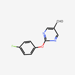 O=Cc1cnc(Oc2ccc(F)cc2)nc1